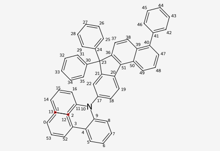 c1ccc(-c2ccccc2N(c2ccccc2)c2ccc3c(c2)C(c2ccccc2)(c2ccccc2)c2ccc4c(-c5ccccc5)cccc4c2-3)cc1